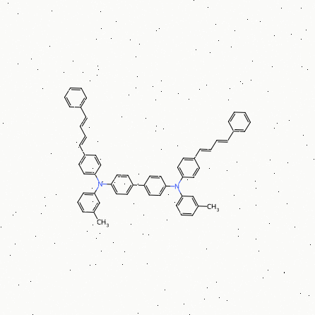 Cc1cccc(N(c2ccc(C=CC=Cc3ccccc3)cc2)c2ccc(-c3ccc(N(c4ccc(C=CC=Cc5ccccc5)cc4)c4cccc(C)c4)cc3)cc2)c1